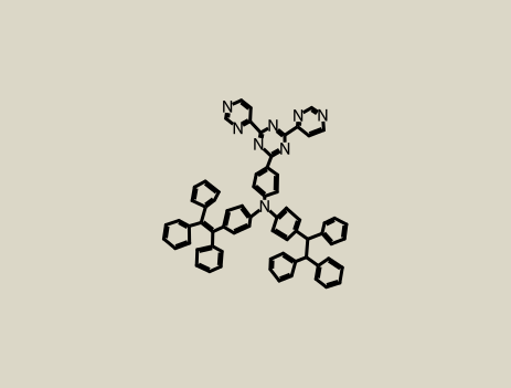 c1ccc(C(=C(c2ccccc2)c2ccc(N(c3ccc(-c4nc(-c5ccncn5)nc(-c5ccncn5)n4)cc3)c3ccc(C(c4ccccc4)C(c4ccccc4)c4ccccc4)cc3)cc2)c2ccccc2)cc1